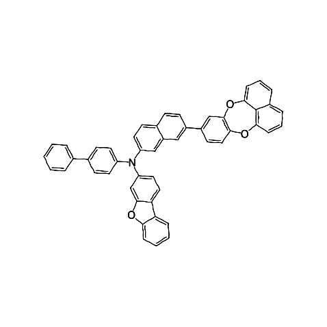 c1ccc(-c2ccc(N(c3ccc4ccc(-c5ccc6c(c5)Oc5cccc7cccc(c57)O6)cc4c3)c3ccc4c(c3)oc3ccccc34)cc2)cc1